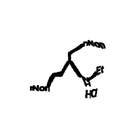 CCCCCCCCCCC(CCCCCCCCCC)NCC.Cl